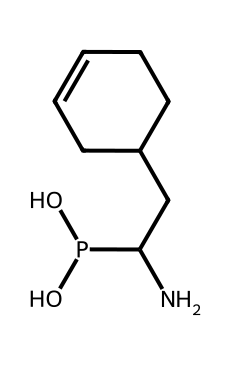 NC(CC1CC=CCC1)P(O)O